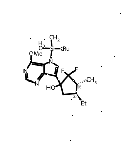 CC[C@H]1CC(O)(c2cn([Si](C)(C)C(C)(C)C)c3c(OC)ncnc23)C(F)(F)[C@@H]1C